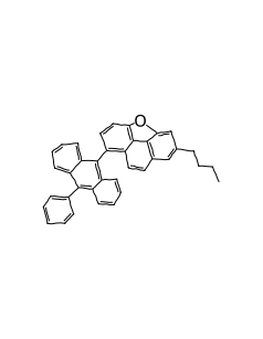 CCCCc1cc2ccc3c(-c4c5ccccc5c(-c5ccccc5)c5ccccc45)ccc4oc(c1)c2c43